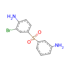 Nc1cccc(S(=O)(=O)c2ccc(N)c(Br)c2)c1